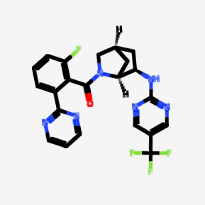 O=C(c1c(F)cccc1-c1ncccn1)N1C[C@H]2C[C@@H](Nc3ncc(C(F)(F)F)cn3)[C@@H]1C2